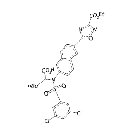 CCCCC(C(=O)O)N(c1ccc2cc(-c3nc(C(=O)OCC)no3)ccc2c1)S(=O)(=O)c1cc(Cl)cc(Cl)c1